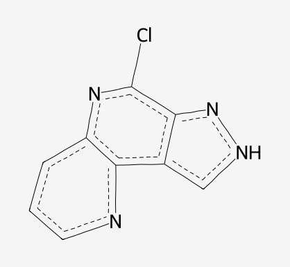 Clc1nc2cccnc2c2c[nH]nc12